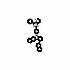 c1ccc(-c2nc(-c3ccc(-n4c5cc6ccccc6cc5c5c(-c6ccc7ccccc7c6)cccc54)cc3)nc3cccnc23)cc1